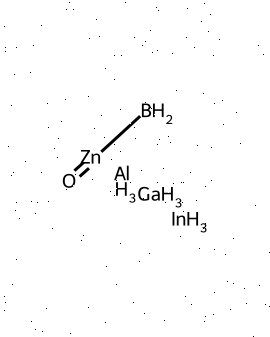 [AlH3].[BH2][Zn]=[O].[GaH3].[InH3]